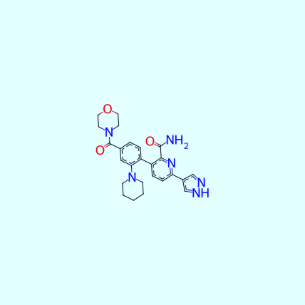 NC(=O)c1nc(-c2cn[nH]c2)ccc1-c1ccc(C(=O)N2CCOCC2)cc1N1CCCCC1